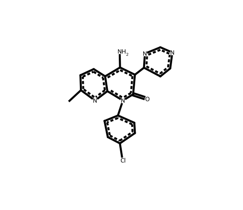 Cc1ccc2c(N)c(-c3ccncn3)c(=O)n(-c3ccc(Cl)cc3)c2n1